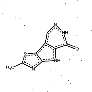 Cc1nc2[nH]c3c(=O)[nH]ncc3c2s1